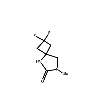 CC(C)(C)N1CC2(CC(F)(F)C2)NC1=O